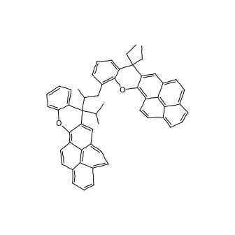 CCC1(CC)c2cccc(CC(C)C3(C(C)C)c4ccccc4Oc4c3cc3ccc5cccc6ccc4c3c56)c2Oc2c1cc1ccc3cccc4ccc2c1c34